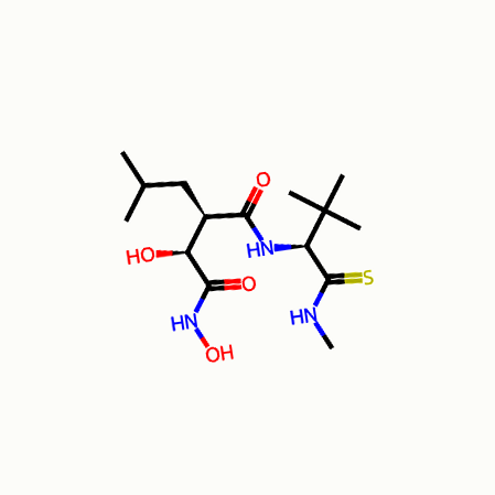 CNC(=S)[C@@H](NC(=O)[C@H](CC(C)C)[C@H](O)C(=O)NO)C(C)(C)C